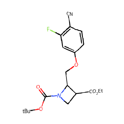 CCOC(=O)C1CN(C(=O)OC(C)(C)C)C1COc1ccc(C#N)c(F)c1